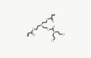 C=CC(=O)OCCN(CCOC(=O)C=C)CCOC(=O)N(CCCl)CCCl